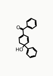 O=C(C1=CCC(O)(c2ccccc2)C=C1)c1ccccc1